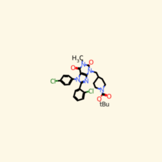 Cn1c(=O)c2c(nc(-c3ccccc3Cl)n2-c2ccc(Cl)cc2)n(CC2CCN(C(=O)OC(C)(C)C)CC2)c1=O